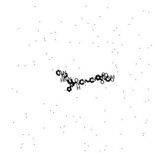 O=C1CCC(N2C(=O)c3ccc(N4CCC(CCN5CCC(NC(=O)c6cn(C7CCCC7)c7cc(Nc8ccnc(N9CCCCC9)n8)ncc67)CC5)CC4)cc3C2=O)C(=O)N1